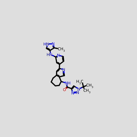 Cc1n[nH]cc1Nc1cc(-c2cc3c(cn2)C(NC(=O)c2cn(C(C)(C)C)nn2)CCCC3)ccn1